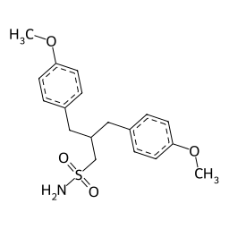 COc1ccc(CC(Cc2ccc(OC)cc2)CS(N)(=O)=O)cc1